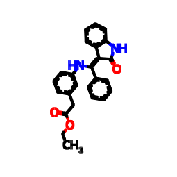 CCOC(=O)Cc1cccc(NC(=C2C(=O)Nc3ccccc32)c2ccccc2)c1